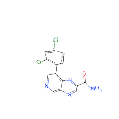 NC(=O)c1cnc2cncc(-c3ccc(Cl)cc3Cl)c2n1